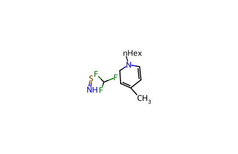 CCCCCCN1C=CC(C)=CC1.FC(F)F.N=S